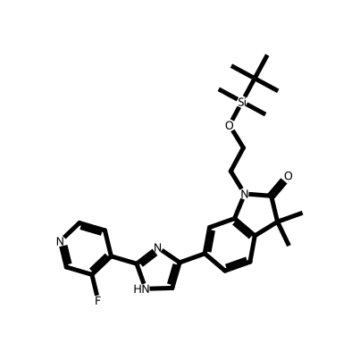 CC1(C)C(=O)N(CCO[Si](C)(C)C(C)(C)C)c2cc(-c3c[nH]c(-c4ccncc4F)n3)ccc21